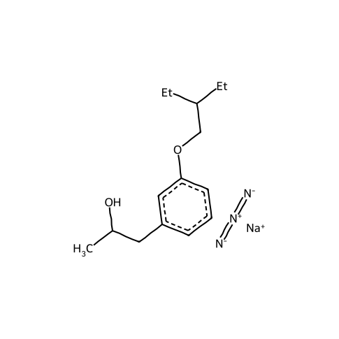 CCC(CC)COc1cccc(CC(C)O)c1.[N-]=[N+]=[N-].[Na+]